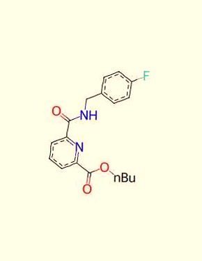 CCCCOC(=O)c1cccc(C(=O)NCc2ccc(F)cc2)n1